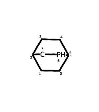 C1CC2CC[C]1PC2